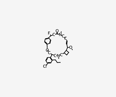 CCCc1cc(Cl)ccc1C1COc2ccc(cc2)C(F)CC(=O)N(C)CC/C=C/C(OC)C2CCC2CN(C)C1